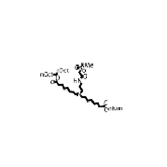 CCCCCCCCCOC(=O)CCCCCCCN(CCCCCCCC(=O)OC(CCCCCCCC)CCCCCCCC)CCCNC(=O)CS(=O)(=O)NC